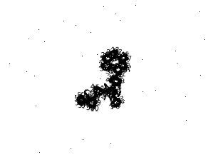 c1ccc(-c2nc(-c3ccc(-c4cc5ccc6cccc7c8cccc9ccc%10cccc(c(c4)c5c67)c%10c98)cc3)nc(-c3cccc(-c4cccc5c4sc4ccccc45)c3)n2)cc1